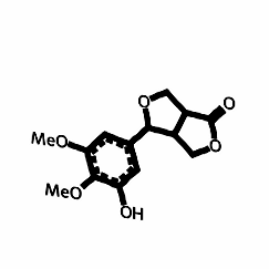 COc1cc(C2OCC3C(=O)OCC32)cc(O)c1OC